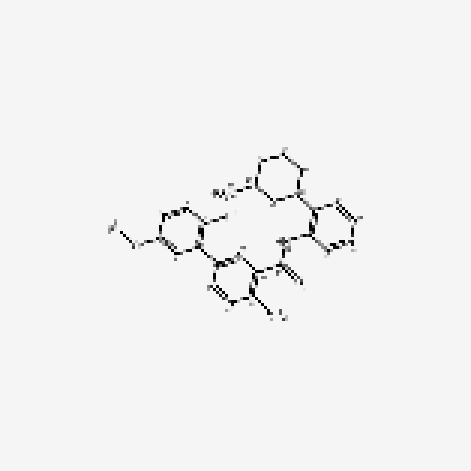 CC(C)Oc1ccc(F)c(-c2cnc(N)c(C(=O)Nc3cnccc3N3CCCC(C(=O)O)C3)n2)c1